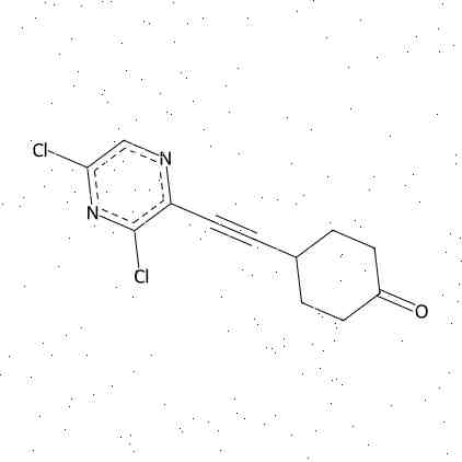 O=C1CCC(C#Cc2ncc(Cl)nc2Cl)CC1